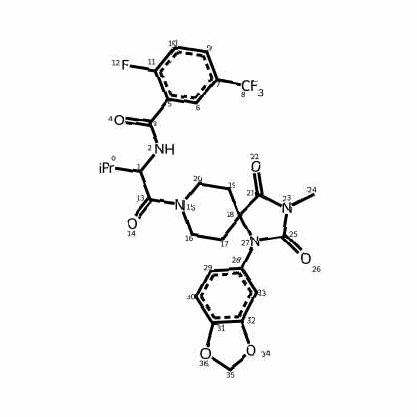 CC(C)C(NC(=O)c1cc(C(F)(F)F)ccc1F)C(=O)N1CCC2(CC1)C(=O)N(C)C(=O)N2c1ccc2c(c1)OCO2